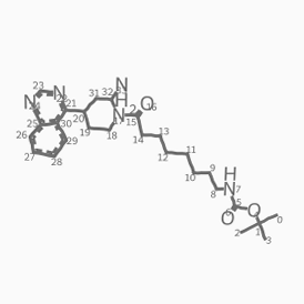 CC(C)(C)OC(=O)NCCCCCCCC(=O)N1CCC(c2ncnc3ccccc23)CC1N